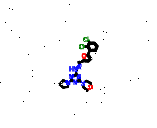 Clc1cccc(-c2ccc(/C=N/Nc3nc(N4CCCC4)nc(N4CCOCC4)n3)o2)c1Cl